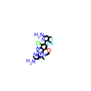 Cc1cc(N)nc(-c2cc3c4c(c2Cl)=NCNC=4N(C(C)c2cncc(N)c2)C=CO3)c1C(F)(F)F